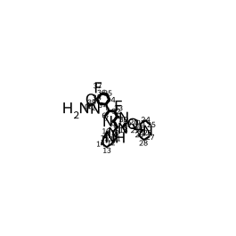 Nc1nc2c(-c3cnc4c(N5CC6CCC(C5)N6)nc(OCC56CCCN5CCC6)nc4c3F)ccc(F)c2o1